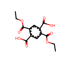 CCOC(=O)c1cc(C(=O)O)c(C(=O)OCC)cc1C(=O)O